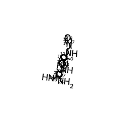 Cc1c(NCCN2CCOCC2)ccc2cnc(Nc3ccc(C=N)c(N)c3)nc12